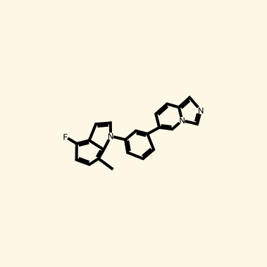 Cc1ccc(F)c2ccn(-c3cccc(-c4ccc5cncn5c4)c3)c12